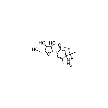 CC1=CN([C@@H]2O[C@H](CO)[C@@H](O)[C@H]2O)C(=O)NC1(N)C(F)(F)F